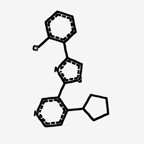 Clc1ccccc1-c1csc(-c2cnccc2C2CCCC2)n1